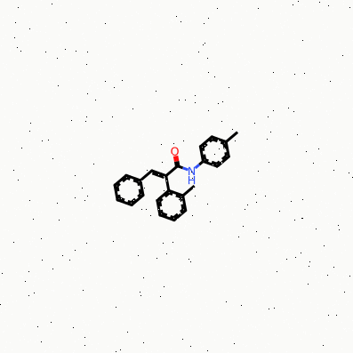 Cc1ccc(NC(=O)/C(=C/c2ccccc2)c2ccccc2C)cc1